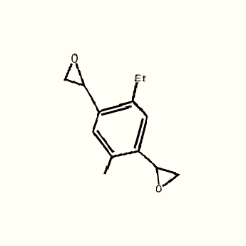 CCc1cc(C2CO2)c(C)cc1C1CO1